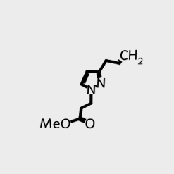 C=CCc1ccn(CCC(=O)OC)n1